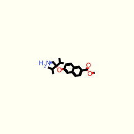 COC(=O)c1ccc2cc(OC(CN)(C(C)C)C(C)C)ccc2c1